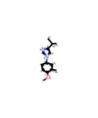 COc1ccc(-n2cnc(C(C)C)c2)cc1C